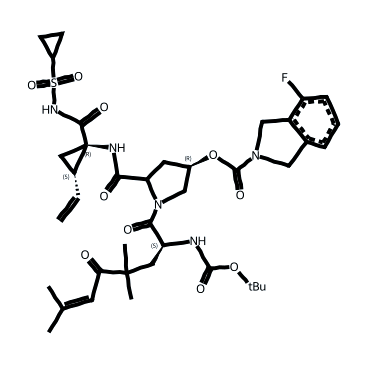 C=C[C@@H]1C[C@]1(NC(=O)C1C[C@@H](OC(=O)N2Cc3cccc(F)c3C2)CN1C(=O)[C@H](CC(C)(C)C(=O)C=C(C)C)NC(=O)OC(C)(C)C)C(=O)NS(=O)(=O)C1CC1